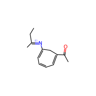 CC/C(C)=N/C1=CC=CC=C(C(C)=O)C1